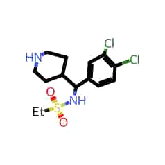 CCS(=O)(=O)NC(c1ccc(Cl)c(Cl)c1)C1CCNCC1